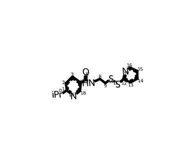 CC(C)c1ccc(C(=O)NCCSSc2ccccn2)cn1